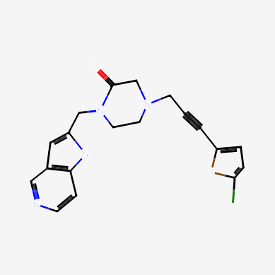 O=C1CN(CC#Cc2ccc(Cl)s2)CCN1Cc1cc2cnccc2[nH]1